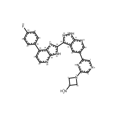 NC1CN(c2cncc(-c3cnc4[nH]nc(-c5nc6c(-c7ccc(F)cc7)ccnc6[nH]5)c4c3)n2)C1